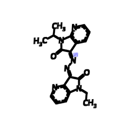 CCN1C(=O)C(=N/N=C2\C(=O)N(C(C)C)c3ncccc32)c2ncccc21